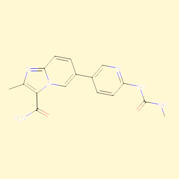 CCNC(=O)Nc1ccc(-c2ccc3nc(C)c(C(N)=O)n3c2)cn1